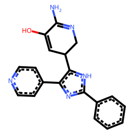 NC1=NCC(c2[nH]c(-c3ccccc3)nc2-c2ccncc2)C=C1O